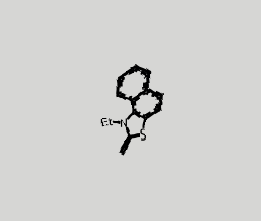 C=C1Sc2ccc3ccccc3c2N1CC